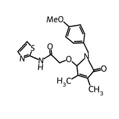 COc1ccc(CN2C(=O)C(C)=C(C)C2OCC(=O)Nc2nccs2)cc1